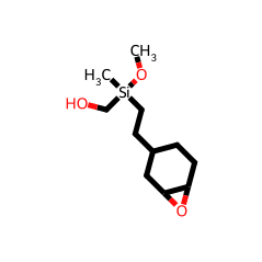 CO[Si](C)(CO)CCC1CCC2OC2C1